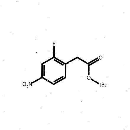 CC(C)(C)OC(=O)Cc1ccc([N+](=O)[O-])cc1F